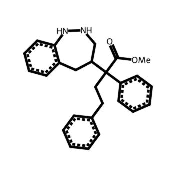 COC(=O)C(CCc1ccccc1)(c1ccccc1)C1CNNc2ccccc2C1